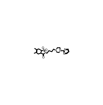 CC1=C(C)CC2C(C1)C(=O)N(CCCCN1CCN(c3ncccn3)CC1)S2(=O)=O